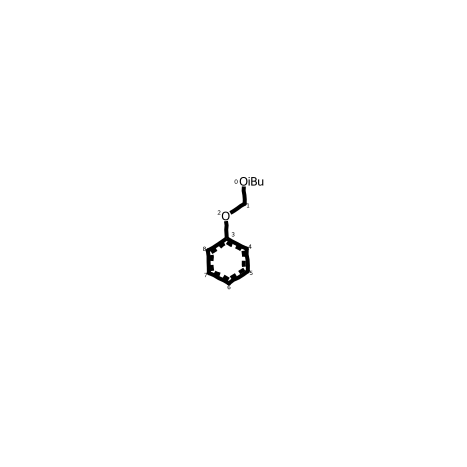 CC(C)COCOc1ccccc1